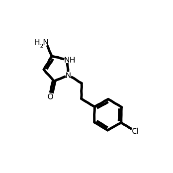 Nc1cc(=O)n(CCc2ccc(Cl)cc2)[nH]1